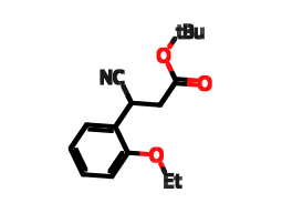 CCOc1ccccc1C(C#N)CC(=O)OC(C)(C)C